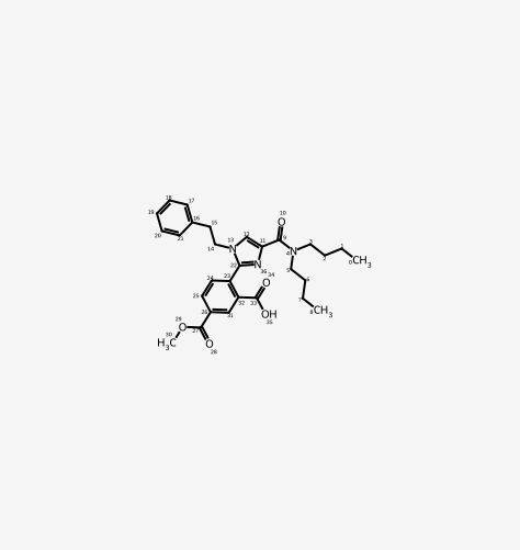 CCCCN(CCCC)C(=O)c1cn(CCc2ccccc2)c(-c2ccc(C(=O)OC)cc2C(=O)O)n1